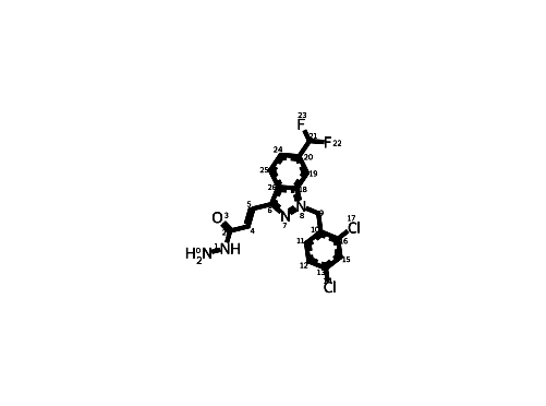 NNC(=O)C=Cc1nn(Cc2ccc(Cl)cc2Cl)c2cc(C(F)F)ccc12